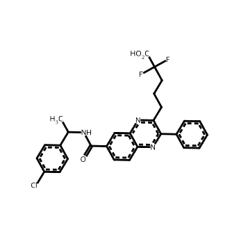 CC(NC(=O)c1ccc2nc(-c3ccccc3)c(CCCC(F)(F)C(=O)O)nc2c1)c1ccc(Cl)cc1